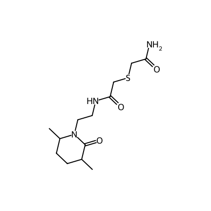 CC1CCC(C)N(CCNC(=O)CSCC(N)=O)C1=O